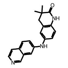 CC1(C)Cc2cc(Nc3ccc4ccncc4c3)ccc2NC1=O